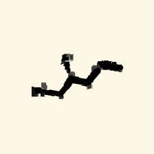 CNC[C@@H](F)CC(C)C